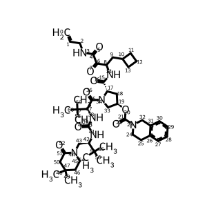 C=CCNC(=O)C(=O)C(CC1CCC1)NC(=O)[C@@H]1C[C@@H](OC(=O)N2CCc3ccccc3C2)CN1C(=O)[C@@H](NC(=O)N[C@H](CN1CCC(C)(C)CC1=O)C(C)(C)C)C(C)(C)C